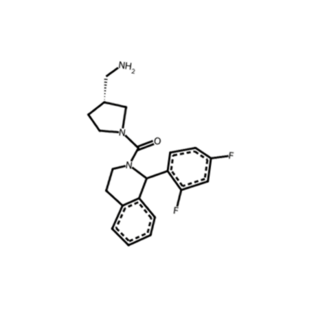 NC[C@H]1CCN(C(=O)N2CCc3ccccc3C2c2ccc(F)cc2F)C1